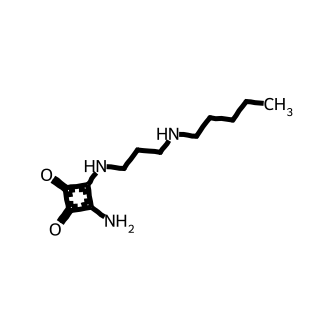 CCCCCNCCCNc1c(N)c(=O)c1=O